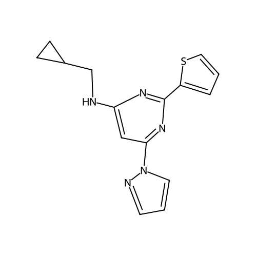 c1csc(-c2nc(NCC3CC3)cc(-n3cccn3)n2)c1